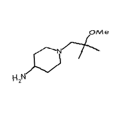 COC(C)(C)CN1CCC(N)CC1